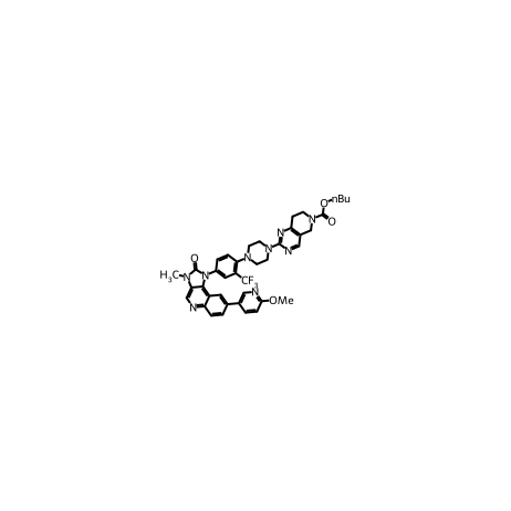 CCCCOC(=O)N1CCc2nc(N3CCN(c4ccc(-n5c(=O)n(C)c6cnc7ccc(-c8ccc(OC)nc8)cc7c65)cc4C(F)(F)F)CC3)ncc2C1